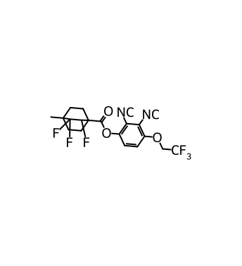 [C-]#[N+]c1c(OCC(F)(F)F)ccc(OC(=O)C23CCC(C)(CC2)C(F)(F)C3F)c1C#N